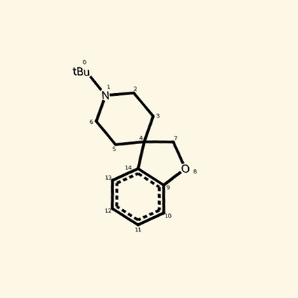 CC(C)(C)N1CCC2(CC1)COc1ccccc12